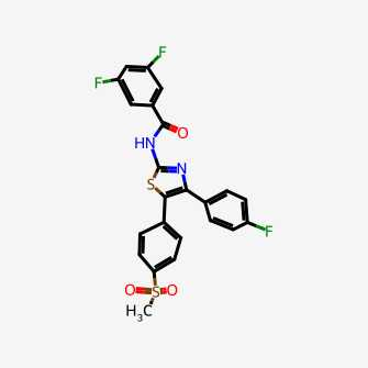 CS(=O)(=O)c1ccc(-c2sc(NC(=O)c3cc(F)cc(F)c3)nc2-c2ccc(F)cc2)cc1